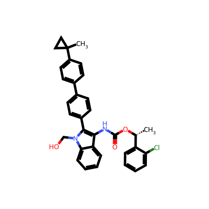 C[C@@H](OC(=O)Nc1c(-c2ccc(-c3ccc(C4(C)CC4)cc3)cc2)n(CO)c2ccccc12)c1ccccc1Cl